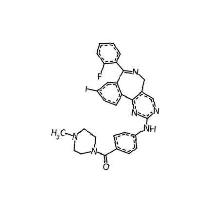 CN1CCN(C(=O)c2ccc(Nc3ncc4c(n3)-c3ccc(I)cc3C(c3ccccc3F)=NC4)cc2)CC1